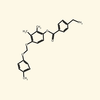 Cc1ccc(OCOc2ccc(OC(=O)c3ccc(CP)cc3)c(C)c2C)cc1